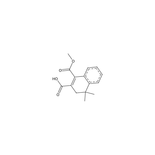 COC(=O)C1=C(C(=O)O)CC(C)(C)c2ccccc21